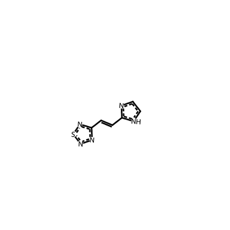 C(=C\c1ncc[nH]1)/c1nnsn1